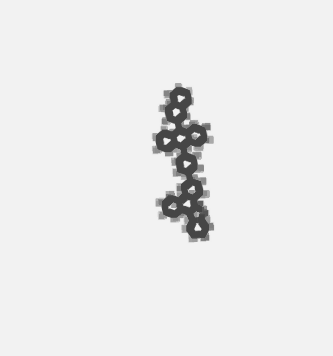 c1ccc2cc(-c3c4ccccc4c(-c4ccc(-c5ccc6c(c5)c5ccccc5c5c7ccccc7sc65)cc4)c4ccccc34)ccc2c1